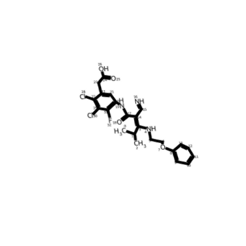 CC(C)/C(NCCOc1ccccc1)=C(/C=N)C(=O)Nc1cc(CC(=O)O)c(Cl)c(Cl)c1F